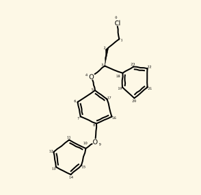 ClCC[C@H](Oc1ccc(Oc2ccccc2)cc1)c1ccccc1